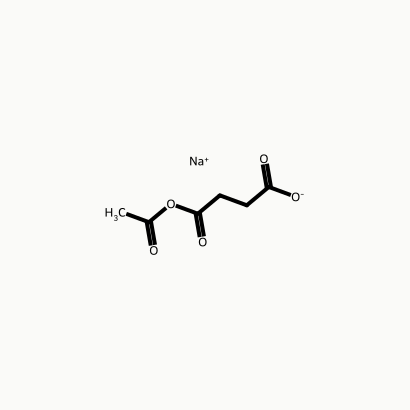 CC(=O)OC(=O)CCC(=O)[O-].[Na+]